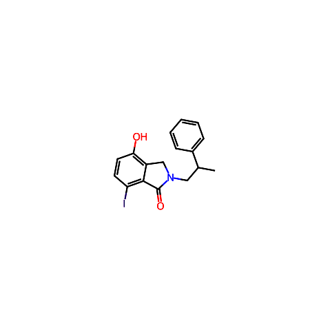 CC(CN1Cc2c(O)ccc(I)c2C1=O)c1ccccc1